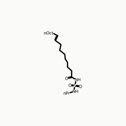 CCCCCCCCC=CCCCCCCCC(=O)NS(=O)(=O)NCCC